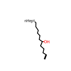 C=CCCCC(O)CCCCCCCCCCCCC